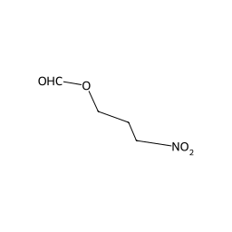 O=COCCC[N+](=O)[O-]